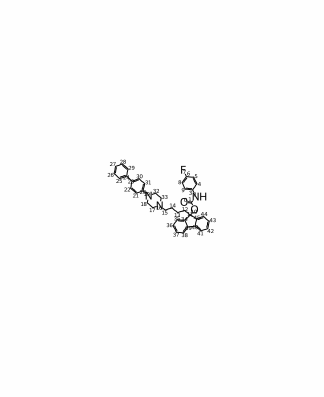 O=C(Nc1ccc(F)cc1)OC1(CCCCN2CCN(c3ccc(-c4ccccc4)cc3)CC2)c2ccccc2-c2ccccc21